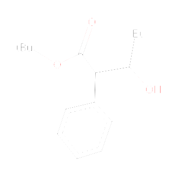 CCC(O)C(C(=O)OC(C)(C)C)c1ccccc1